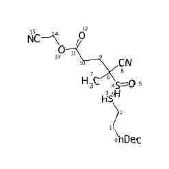 CCCCCCCCCCCC/[SH]=[SH](=O)/C(C)(C#N)CCC(=O)OCC#N